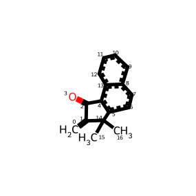 C=C1C(=O)c2c(ccc3ccccc23)C1(C)C